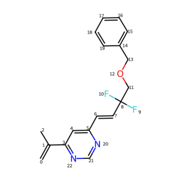 C=C(C)c1cc(C=CC(F)(F)COCc2ccccc2)ncn1